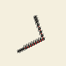 CC[n+]1ccccc1.CC[n+]1ccccc1.CC[n+]1ccccc1.CC[n+]1ccccc1.CC[n+]1ccccc1.CC[n+]1ccccc1.CC[n+]1ccccc1.CC[n+]1ccccc1.CC[n+]1ccccc1.CC[n+]1ccccc1.CC[n+]1ccccc1.CC[n+]1ccccc1.O=P([O-])([O-])F.O=P([O-])([O-])F.O=P([O-])([O-])F.O=P([O-])([O-])F.O=P([O-])([O-])F.O=P([O-])([O-])F